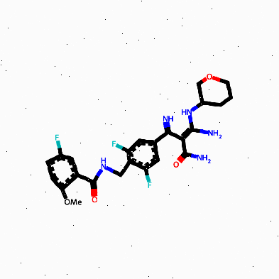 COc1ccc(F)cc1C(=O)NCc1c(F)cc(C(=N)/C(C(N)=O)=C(/N)NC2CCCOC2)cc1F